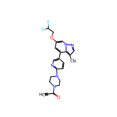 C#CC(=O)N1CCN(c2ccc(-c3cc(OCC(F)F)cn4ncc(C#N)c34)cn2)CC1